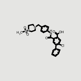 CS(=O)(=O)N1CCN(Cc2ccc(NC(=O)c3cc(-c4ccccc4)c(Cl)cc3C(=O)O)cc2)CC1